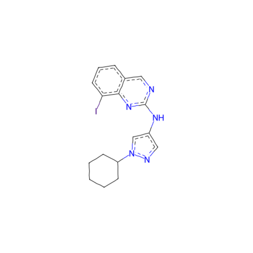 Ic1cccc2cnc(Nc3cnn(C4CCCCC4)c3)nc12